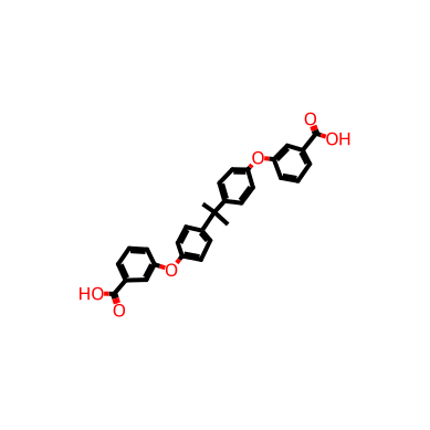 CC(C)(c1ccc(Oc2cccc(C(=O)O)c2)cc1)c1ccc(Oc2cccc(C(=O)O)c2)cc1